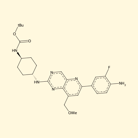 COCc1cc(-c2ccc(N)c(F)c2)nc2cnc(N[C@H]3CC[C@H](NC(=O)OC(C)(C)C)CC3)nc12